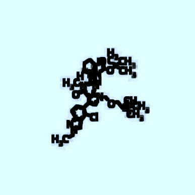 CCn1cc2c(Cl)c(-c3cn(COCC[Si](C)(C)C)c4nc(N5C[C@@H]6CC[C@H]5[C@H]6NC(=O)OC(C)(C)C)n(C)c(=O)c34)ccc2n1